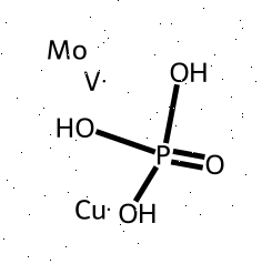 O=P(O)(O)O.[Cu].[Mo].[V]